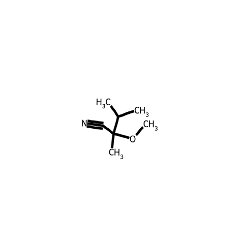 COC(C)(C#N)C(C)C